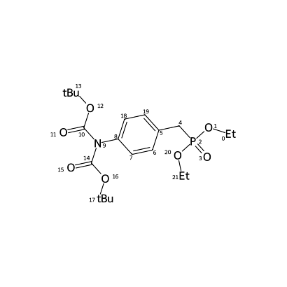 CCOP(=O)(Cc1ccc(N(C(=O)OC(C)(C)C)C(=O)OC(C)(C)C)cc1)OCC